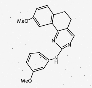 COc1cccc(Nc2ncc3c(n2)-c2cc(OC)ccc2CC3)c1